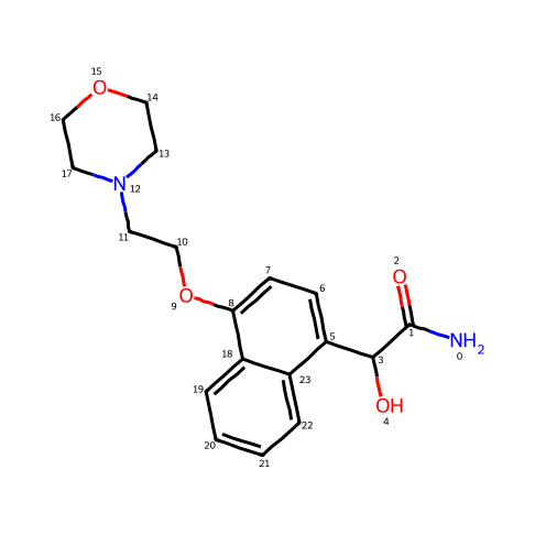 NC(=O)C(O)c1ccc(OCCN2CCOCC2)c2ccccc12